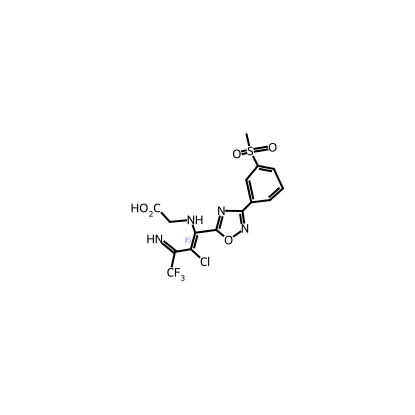 CS(=O)(=O)c1cccc(-c2noc(/C(NCC(=O)O)=C(\Cl)C(=N)C(F)(F)F)n2)c1